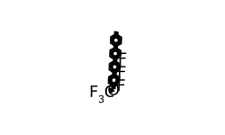 CC1CCC(C2CCC(C3CCC(C4CCC(OC(F)(F)F)C(F)C4)C(F)C3)C(F)C2)CC1